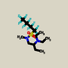 CCC(CN(C)S(=O)(=O)C(F)(F)C(F)(F)C(F)(F)C(F)(F)F)N(CC)CC